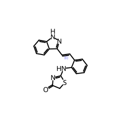 O=C1CSC(Nc2ccccc2/C=C/c2n[nH]c3ccccc23)=N1